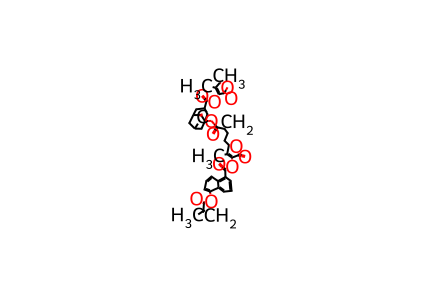 C=C(C)C(=O)Oc1cccc2c(C(=O)OC3=C(C)C(CCC(=C)C(=O)OC45CC6CC(C4)CC(C(=O)OC4=C(C)C(C)OC4=O)(C6)C5)OC3=O)cccc12